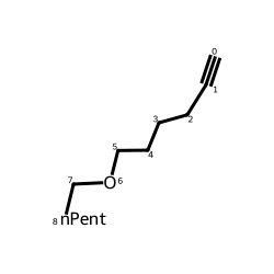 C#CCCCCOCCCCC[CH2]